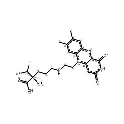 Cc1cc2nc3c(=O)[nH]c(=O)nc-3n(CCNCCC[C@](N)(C(=O)O)C(F)F)c2cc1C